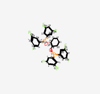 Fc1cc(F)cc(P(O[C@@H]2CCCC[C@H]2OP(c2cc(F)cc(F)c2)c2cc(F)cc(F)c2)c2cc(F)cc(F)c2)c1